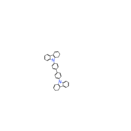 C1=Cc2c(c3ccccc3n2-c2ccc(-c3ccc(-n4c5c(c6ccccc64)C=CCC5)cc3)cc2)CC1